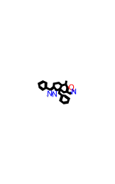 CC1c2oncc2CC2(Cc3ccccc3)c3nn(C)c(-c4ccccc4)c3CCC12